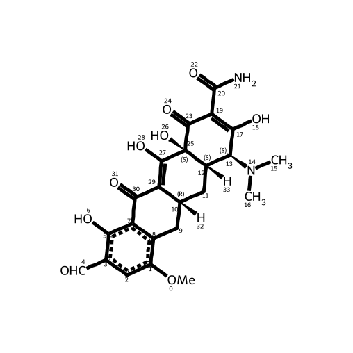 COc1cc(C=O)c(O)c2c1C[C@H]1C[C@H]3[C@H](N(C)C)C(O)=C(C(N)=O)C(=O)[C@@]3(O)C(O)=C1C2=O